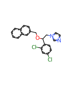 Clc1ccc(C(Cn2ccnc2)OCc2ccc3ccccc3c2)c(Cl)c1